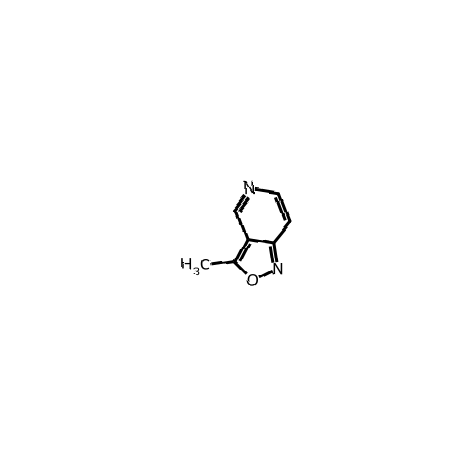 Cc1onc2ccncc12